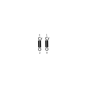 [O]=[Cr].[O]=[Cr]